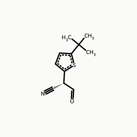 CC(C)(C)c1ccc([C@@H](C#N)C=O)s1